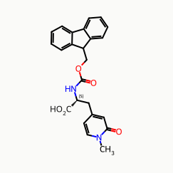 Cn1ccc(C[C@H](NC(=O)OCC2c3ccccc3-c3ccccc32)C(=O)O)cc1=O